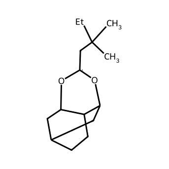 [CH2]CC(C)(C)C[C]1OC2CC3CCC2C(C3)O1